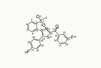 CS(=O)(=O)c1ccccc1-c1nc(C(=O)c2cccc(F)c2)sc1-c1ccc(F)cc1